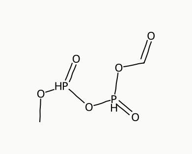 CO[PH](=O)O[PH](=O)OC=O